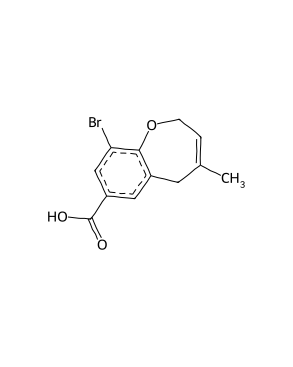 CC1=CCOc2c(Br)cc(C(=O)O)cc2C1